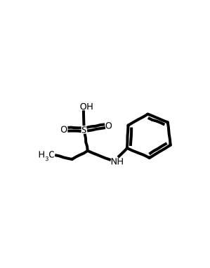 CCC(Nc1ccccc1)S(=O)(=O)O